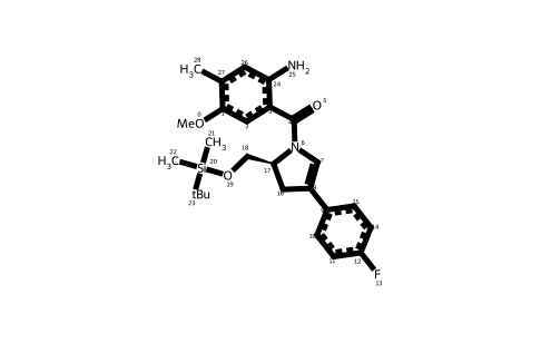 COc1cc(C(=O)N2C=C(c3ccc(F)cc3)C[C@H]2CO[Si](C)(C)C(C)(C)C)c(N)cc1C